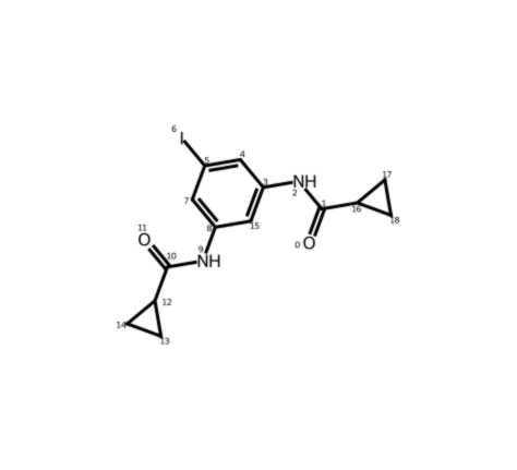 O=C(Nc1cc(I)cc(NC(=O)C2CC2)c1)C1CC1